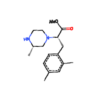 COC(=O)[C@H](Cc1ccc(C)cc1C)N1CCN[C@@H](C)C1